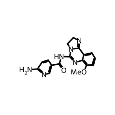 COc1cccc2c1N=C(NC(=O)c1ccc(N)nc1)N1CCN=C21